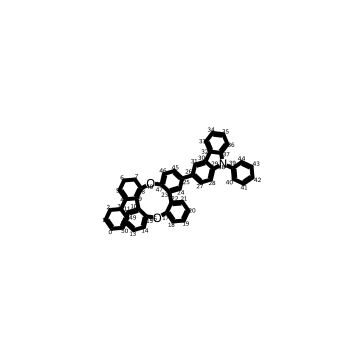 C1=CCC(C2=CCCC3=C2c2ccccc2Oc2ccccc2-c2cc(-c4ccc5c(c4)c4ccccc4n5-c4ccccc4)ccc2O3)C=C1